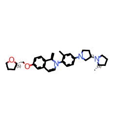 C=C1c2ccc(OC[C@@H]3CCCO3)cc2C=CN1c1ccc(N2CC[C@H](N3CCC[C@@H]3C)C2)cc1C